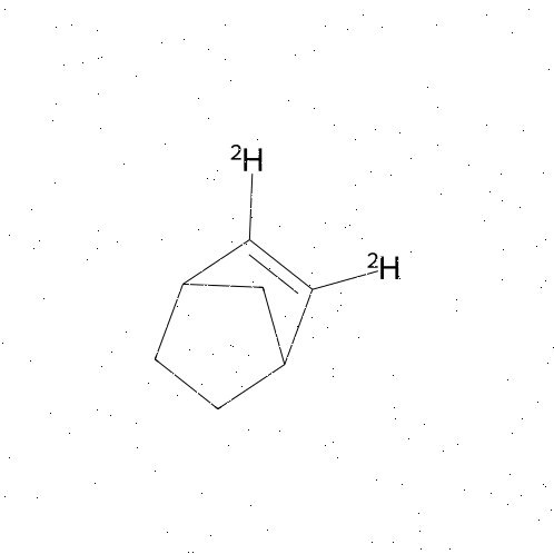 [2H]C1=C([2H])C2CCC1C2